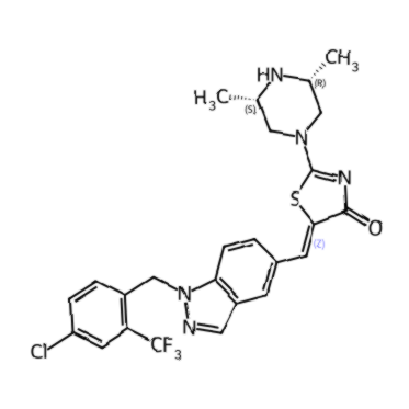 C[C@@H]1CN(C2=NC(=O)/C(=C/c3ccc4c(cnn4Cc4ccc(Cl)cc4C(F)(F)F)c3)S2)C[C@H](C)N1